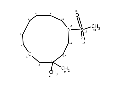 CC1(C)CCCCCCCCN(S(C)(=O)=O)CC1